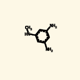 CNc1cc(N)cc(N)c1